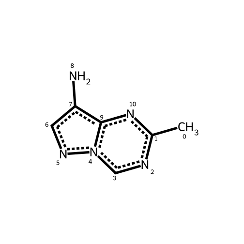 Cc1ncn2ncc(N)c2n1